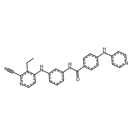 CCc1c(Nc2cccc(NC(=O)c3ccc(Nc4ccncc4)cc3)c2)ccnc1C#N